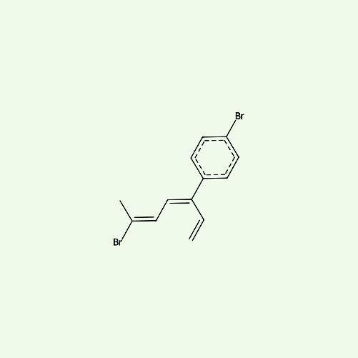 C=C/C(=C\C=C(/C)Br)c1ccc(Br)cc1